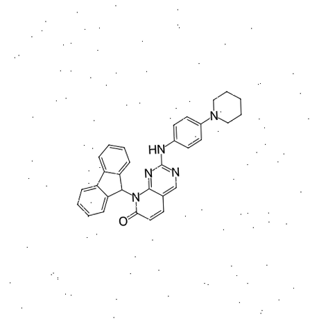 O=c1ccc2cnc(Nc3ccc(N4CCCCC4)cc3)nc2n1C1c2ccccc2-c2ccccc21